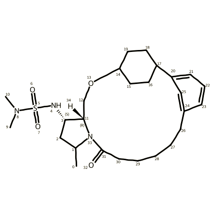 CC1C[C@H](NS(=O)(=O)N(C)C)[C@@H]2COC3CCC(CC3)c3cccc(c3)CCCCCC(=O)N12